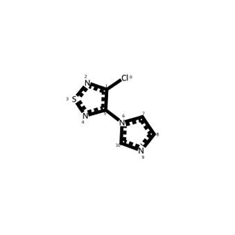 Clc1nsnc1-n1ccnc1